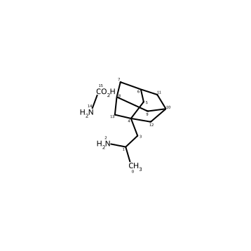 CC(N)CC12CC3CC(CC(C3)C1)C2.NC(=O)O